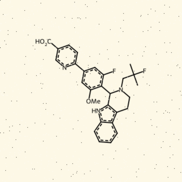 COc1cc(-c2ccc(C(=O)O)cn2)cc(F)c1C1c2[nH]c3ccccc3c2CCN1CC(C)(C)F